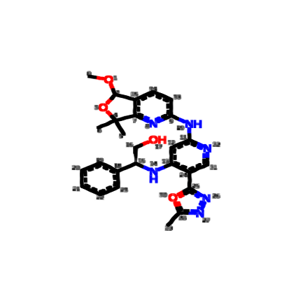 COC1OC(C)(C)c2nc(Nc3cc(N[C@H](CO)c4ccccc4)c(-c4nnc(C)o4)cn3)ccc21